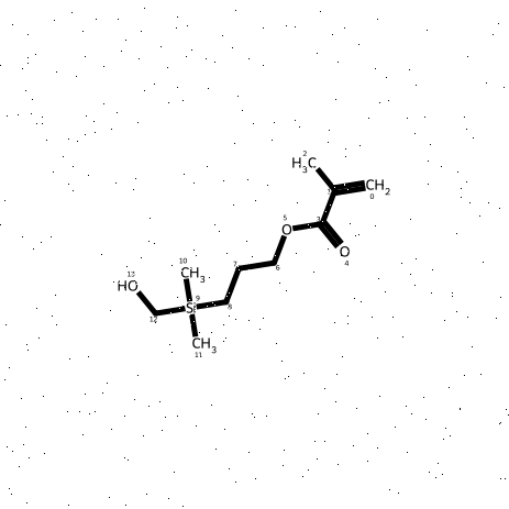 C=C(C)C(=O)OCCC[Si](C)(C)CO